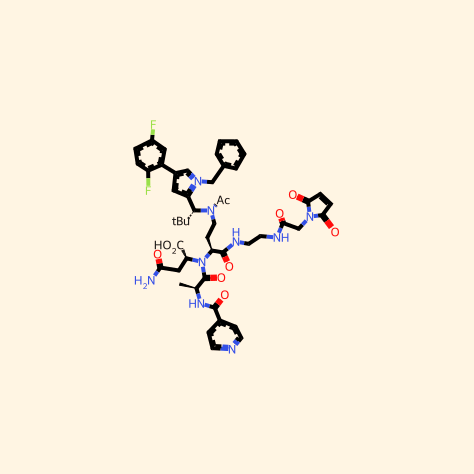 CC(=O)N(CC[C@@H](C(=O)NCCNC(=O)CN1C(=O)C=CC1=O)N(C(=O)[C@H](C)NC(=O)c1ccncc1)[C@@H](CC(N)=O)C(=O)O)[C@@H](c1cc(-c2cc(F)ccc2F)cn1Cc1ccccc1)C(C)(C)C